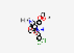 COC1C[C@@H](NC(=O)Cc2ccc(Cl)c(Cl)c2)C[C@]2(c3cccc(OC(C)=O)c3)CCN(C)C[C@@H]12